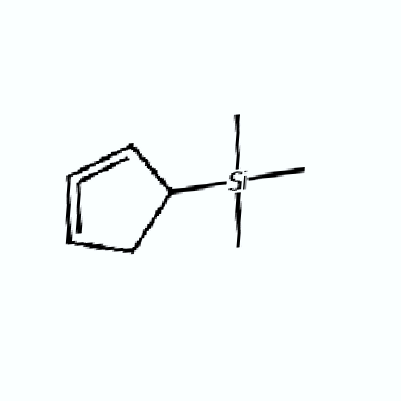 C[Si](C)(C)C1C=C=CC1